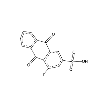 O=C1c2ccccc2C(=O)c2c(I)cc(S(=O)(=O)O)cc21